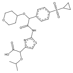 CC(C)OC(C(=O)O)c1csc(NC(=O)C(OC2CCOCC2)c2ccc(S(=O)(=O)C3CC3)cc2)n1